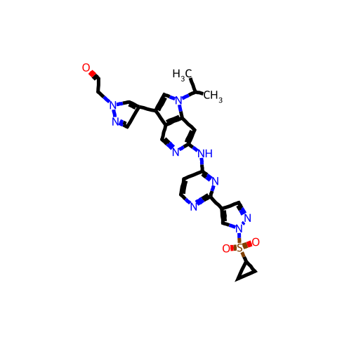 CC(C)n1cc(-c2cnn(CC=O)c2)c2cnc(Nc3ccnc(-c4cnn(S(=O)(=O)C5CC5)c4)n3)cc21